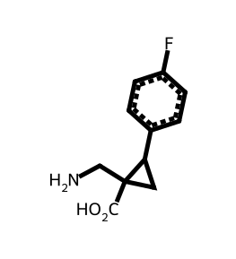 NCC1(C(=O)O)CC1c1ccc(F)cc1